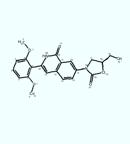 COc1cccc(OC)c1-c1cc2ccc(N3CC(CO)OC3=O)cc2c(=O)[nH]1